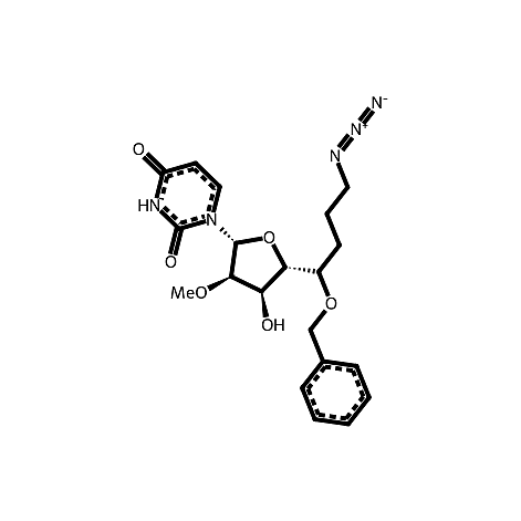 CO[C@@H]1[C@H](O)[C@@H](C(CCCN=[N+]=[N-])OCc2ccccc2)O[C@H]1n1ccc(=O)[nH]c1=O